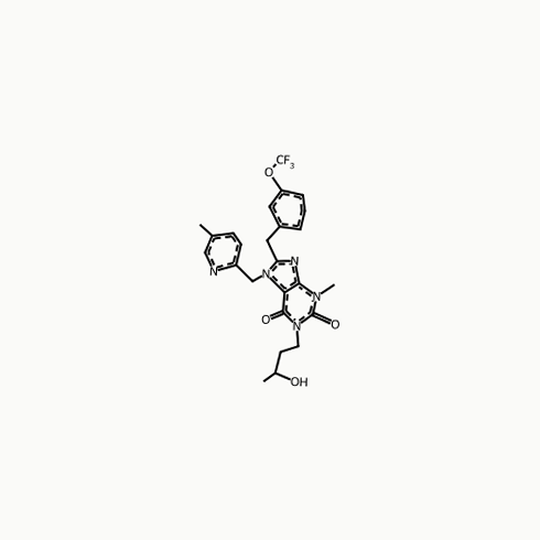 Cc1ccc(Cn2c(Cc3cccc(OC(F)(F)F)c3)nc3c2c(=O)n(CCC(C)O)c(=O)n3C)nc1